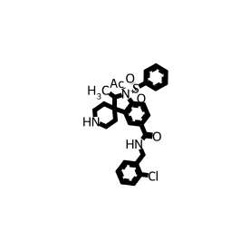 CC(=O)[N+]1(S(=O)(=O)c2ccccc2)c2ccc(C(=O)NCc3ccccc3Cl)cc2C2(CCNCC2)C1C